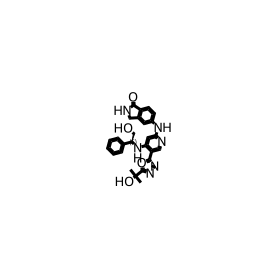 CC(C)(O)c1nnc(-c2cnc(Nc3ccc4c(c3)CNC4=O)cc2N[C@H](CO)c2ccccc2)o1